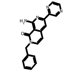 Nc1nc(-c2cnccn2)cc2ccn(Cc3ccccc3)c(=O)c12